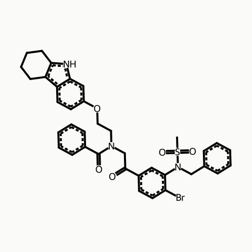 CS(=O)(=O)N(Cc1ccccc1)c1cc(C(=O)CN(CCOc2ccc3c4c([nH]c3c2)CCCC4)C(=O)c2ccccc2)ccc1Br